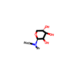 CON(C(C)C)[C@H]1OC[C@H](O)C(O)C1O